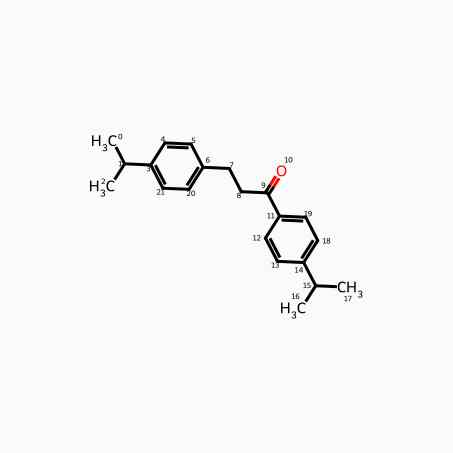 CC(C)c1ccc(CCC(=O)c2ccc(C(C)C)cc2)cc1